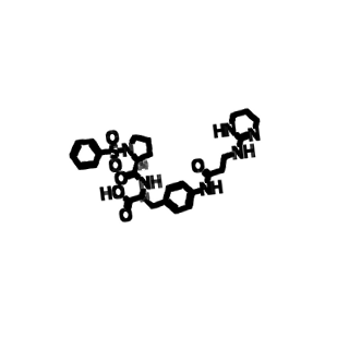 O=C(CCNC1=NCCCN1)Nc1ccc(C[C@H](NC(=O)[C@@H]2CCCN2S(=O)(=O)c2ccccc2)C(=O)O)cc1